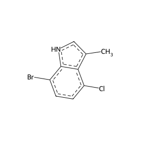 Cc1c[nH]c2c(Br)ccc(Cl)c12